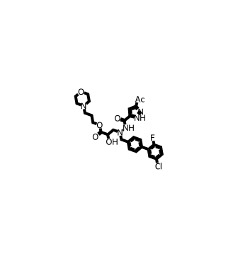 CC(=O)c1cc(C(=O)NN(Cc2ccc(-c3cc(Cl)ccc3F)cc2)CC(O)C(=O)OCCCN2CCOCC2)[nH]n1